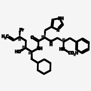 C=C[C@@H](C[C@H](O)[C@H](CC1CCCCC1)NC(=O)[C@H](Cc1c[nH]cn1)NC[C@H](Cc1ccccc1)NC(=O)O)C(C)C